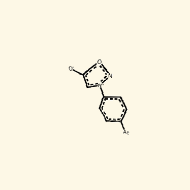 CC(=O)c1ccc(-[n+]2cc([O-])on2)cc1